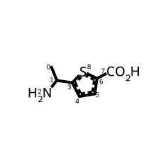 CC(N)c1ccc(C(=O)O)s1